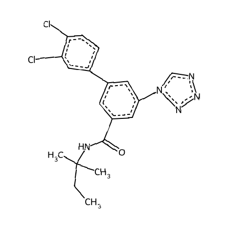 CCC(C)(C)NC(=O)c1cc(-c2ccc(Cl)c(Cl)c2)cc(-n2cnnn2)c1